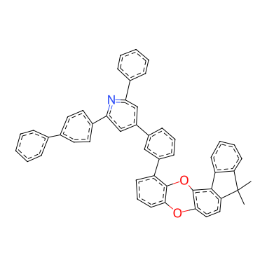 CC1(C)c2ccccc2-c2c1ccc1c2Oc2c(cccc2-c2cccc(-c3cc(-c4ccccc4)nc(-c4ccc(-c5ccccc5)cc4)c3)c2)O1